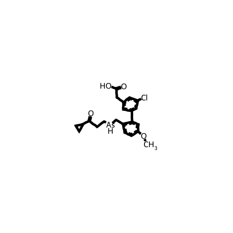 COc1ccc(C[AsH]CCC(=O)C2CC2)c(-c2cc(Cl)cc(CC(=O)O)c2)c1